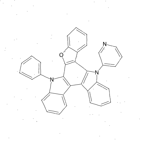 c1ccc(-n2c3ccccc3c3c4c5ccccc5n(-c5cccnc5)c4c4c5ccccc5oc4c32)cc1